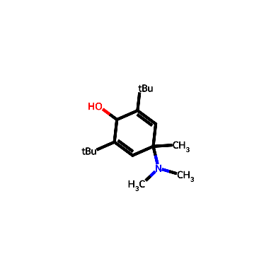 CN(C)C1(C)C=C(C(C)(C)C)C(O)C(C(C)(C)C)=C1